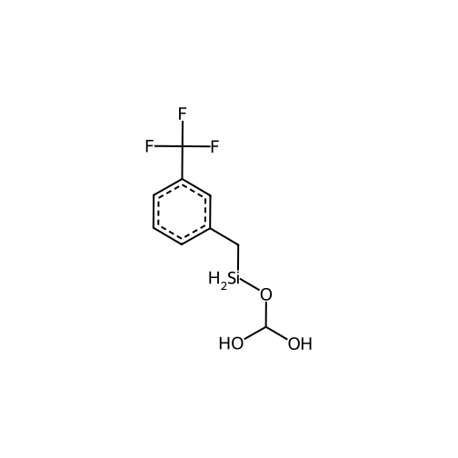 OC(O)O[SiH2]Cc1cccc(C(F)(F)F)c1